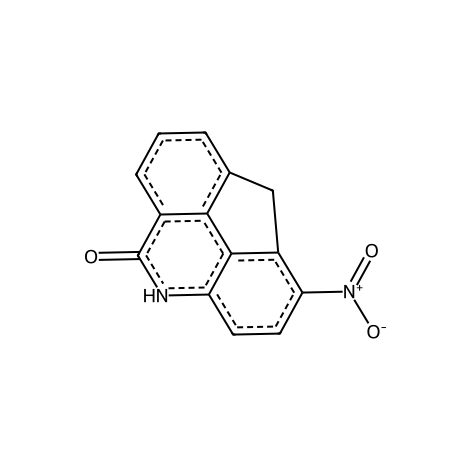 O=c1[nH]c2ccc([N+](=O)[O-])c3c2c2c(cccc12)C3